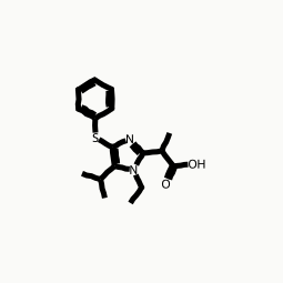 CCn1c(C(C)C(=O)O)nc(Sc2ccccc2)c1C(C)C